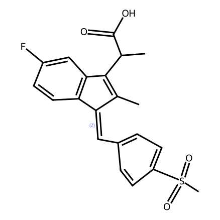 CC1=C(C(C)C(=O)O)c2cc(F)ccc2/C1=C/c1ccc(S(C)(=O)=O)cc1